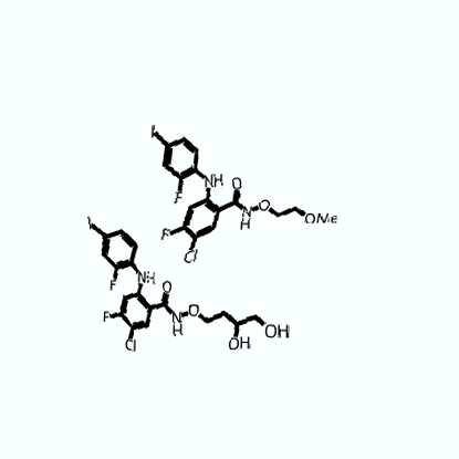 COCCONC(=O)c1cc(Cl)c(F)cc1Nc1ccc(I)cc1F.O=C(NOCCC(O)CO)c1cc(Cl)c(F)cc1Nc1ccc(I)cc1F